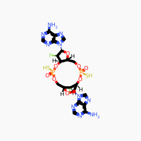 Nc1ncnc2c1ncn2[C@@H]1O[C@@H]2CO[P@@](=O)(S)O[C@@H]3[C@@H](F)[C@@H](CO[P@@](=O)(S)O[C@H]2[C@H]1F)O[C@H]3n1cnc2c(N)ncnc21